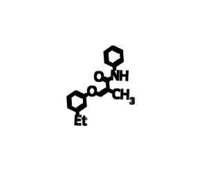 CCc1cccc(OC=C(C)C(=O)Nc2ccccc2)c1